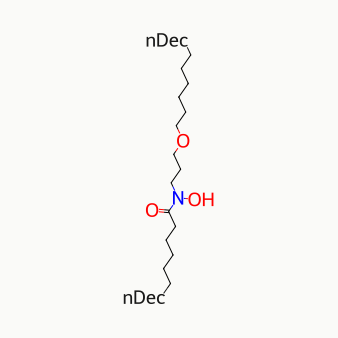 CCCCCCCCCCCCCCCCOCCCN(O)C(=O)CCCCCCCCCCCCCCC